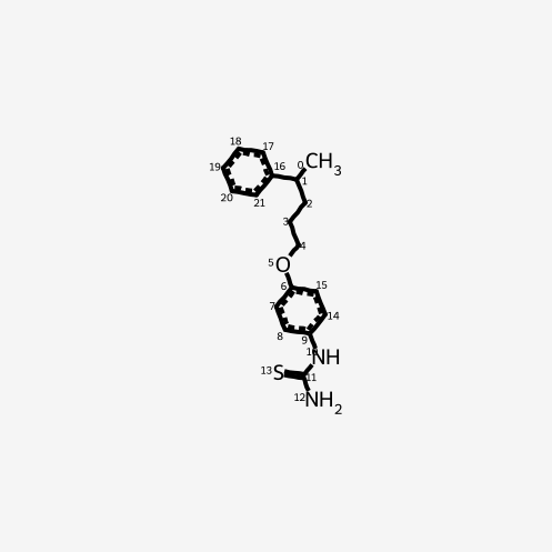 CC(CCCOc1ccc(NC(N)=S)cc1)c1ccccc1